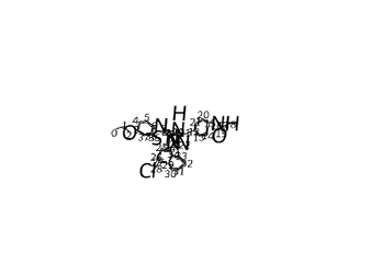 CCOc1ccc2nc(N3NC(c4ccc(NC(C)=O)cc4)=NN3c3ccc(Cl)c4ccccc34)sc2c1